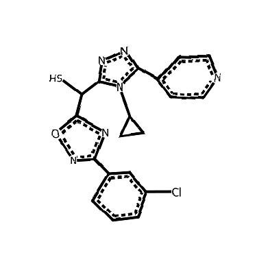 SC(c1nc(-c2cccc(Cl)c2)no1)c1nnc(-c2ccncc2)n1C1CC1